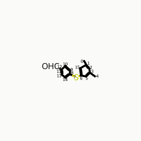 Cc1cc(C)cc(Sc2ccc(C=O)cc2)c1